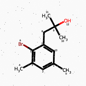 Cc1cc(C)c(Br)c(CC(C)(C)O)c1